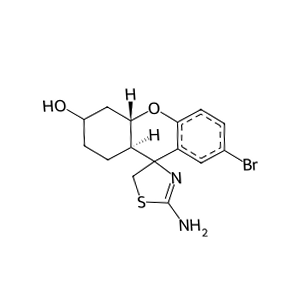 NC1=NC2(CS1)c1cc(Br)ccc1O[C@H]1CC(O)CC[C@@H]12